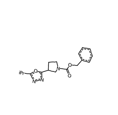 CC(C)c1nnc(C2CCN(C(=O)OCc3ccccc3)C2)o1